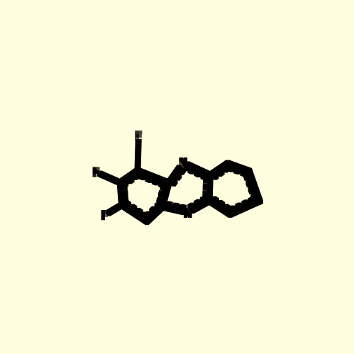 Fc1cc2nc3ccccc3nc2c(F)c1F